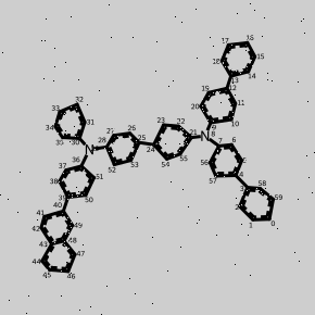 c1ccc(-c2ccc(N(c3ccc(-c4ccccc4)cc3)c3ccc(-c4ccc(N(c5ccccc5)c5ccc(-c6ccc7ccccc7c6)cc5)cc4)cc3)cc2)cc1